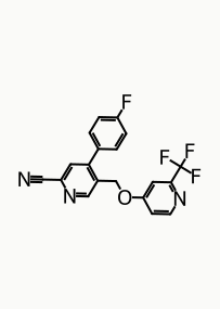 N#Cc1cc(-c2ccc(F)cc2)c(COc2ccnc(C(F)(F)F)c2)cn1